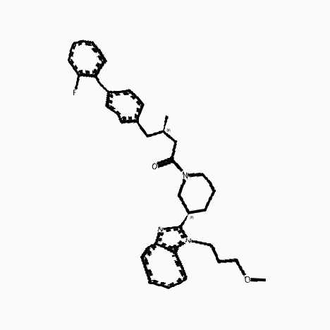 COCCCn1c([C@@H]2CCCN(C(=O)C[C@H](C)Cc3ccc(-c4ccccc4F)cc3)C2)nc2ccccc21